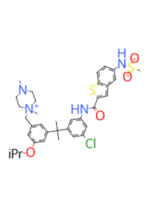 CC(C)Oc1cc(C[N+]2(C)CCN(C)CC2)cc(C(C)(C)c2cc(Cl)cc(NC(=O)c3cc4cc(NS(C)(=O)=O)ccc4s3)c2)c1